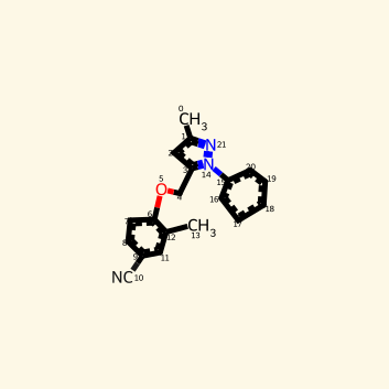 Cc1cc(COc2ccc(C#N)cc2C)n(-c2ccccc2)n1